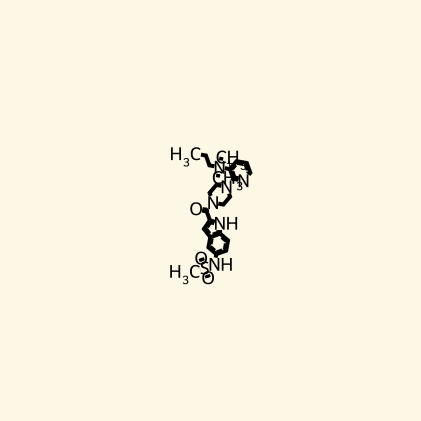 CCC[N+](C)(C)c1cccnc1N1CCN(C(=O)c2cc3cc(NS(C)(=O)=O)ccc3[nH]2)CC1